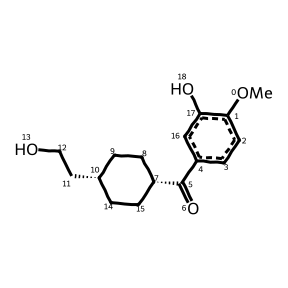 COc1ccc(C(=O)[C@H]2CC[C@@H](CCO)CC2)cc1O